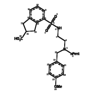 CCCCCN(CCNS(=O)(=O)c1cccc2c1CC(C(=O)O)C2)Cc1ccc(OC)cc1